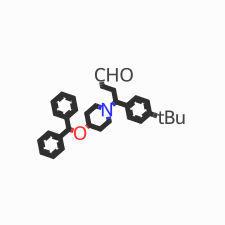 CC(C)(C)c1ccc(C(CCC=O)N2CCC(OC(c3ccccc3)c3ccccc3)CC2)cc1